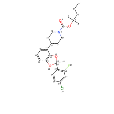 CCCC(C)(C)OC(=O)N1CCC(c2cccc3c2O[C@@](C)(c2ccc(Cl)cc2F)O3)CC1